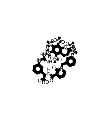 CS(=O)(=O)c1c2c(c(S(C)(=O)=O)c(S(=O)(=O)NC(=N)Nc3cccc([C@H](NC(=O)c4cccn(Cc5ccccc5)c4=O)C(=O)O)c3)c1S(C)(=O)=O)CCC(S(C)(=O)=O)(S(C)(=O)=O)O2